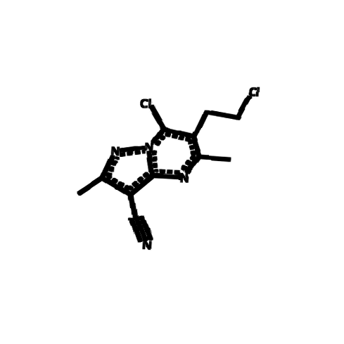 Cc1nc2c(C#N)c(C)nn2c(Cl)c1CCCl